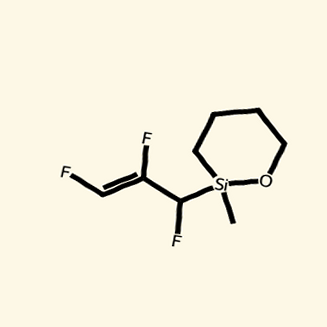 C[Si]1(C(F)C(F)=CF)CCCCO1